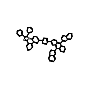 c1ccc(-c2nc3c4ccccc4c4cc(-c5ccc(-c6ccc7c(-c8ccc9ccccc9c8)c8ccccc8c(-c8ccc9ccccc9c8)c7c6)cc5)ccc4n3c2-c2ccccc2)cc1